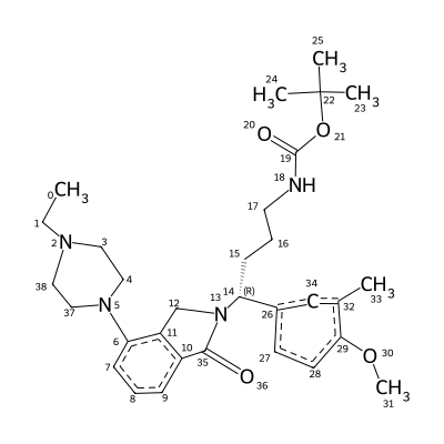 CCN1CCN(c2cccc3c2CN([C@H](CCCNC(=O)OC(C)(C)C)c2ccc(OC)c(C)c2)C3=O)CC1